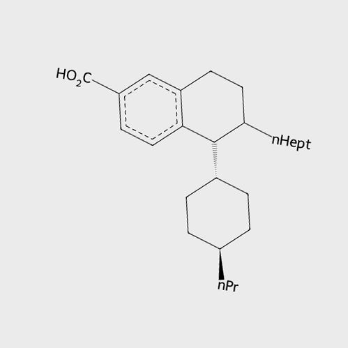 CCCCCCCC1CCc2cc(C(=O)O)ccc2C1[C@H]1CC[C@H](CCC)CC1